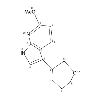 COc1ccc2c(C3CCCOC3)c[nH]c2n1